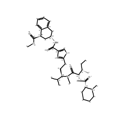 CC[C@H](C)[C@H](NC(=O)[C@H]1CCCCN1C)C(=O)N(C)[C@H](CCc1nc(C(=O)N[C@H]2Cc3ccccc3[C@H](C(=O)OC)C2)cs1)C(C)C